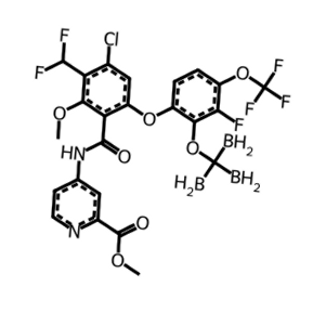 BC(B)(B)Oc1c(Oc2cc(Cl)c(C(F)F)c(OC)c2C(=O)Nc2ccnc(C(=O)OC)c2)ccc(OC(F)(F)F)c1F